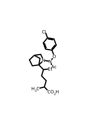 CCC(CCC(C)C(=O)O)C12CCC(CN1N(Oc1ccc(Cl)cc1)C(C)=O)C2